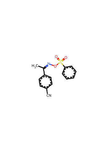 CC(=NOS(=O)(=O)c1ccccc1)c1ccc(C#N)cc1